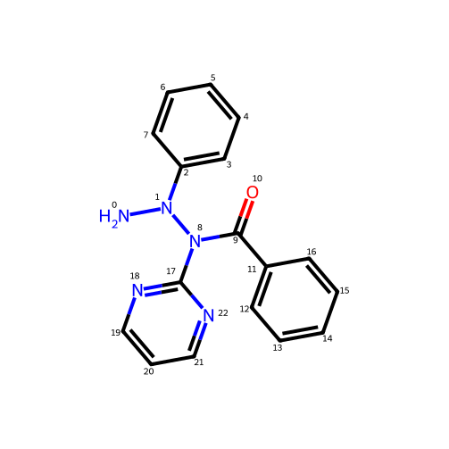 NN(c1ccccc1)N(C(=O)c1ccccc1)c1ncccn1